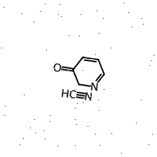 C#N.O=C1C=CC=NC1